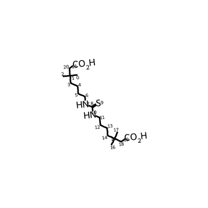 CC(C)(CCCCNC(=S)NCCCCC(C)(C)CC(=O)O)CC(=O)O